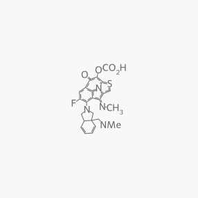 CN=c1c2c(N3CC4C=CC=CC4(CNC)C3)c(F)cc3c(=O)c(OC(=O)O)c4scc1n4c32